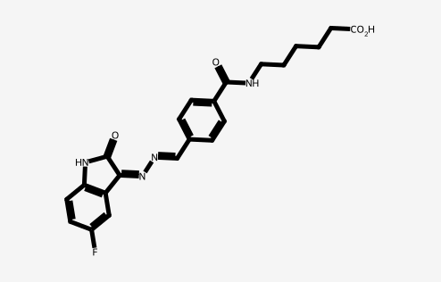 O=C(O)CCCCCNC(=O)c1ccc(C=NN=C2C(=O)Nc3ccc(F)cc32)cc1